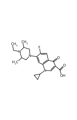 CCN1C(C)CN(c2cc3c(cc2F)c(=O)c(C(=O)O)cn3C2CC2)CC1C